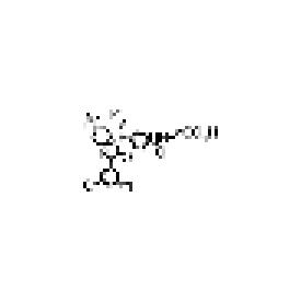 CC(C)CC[C@H](c1ccc(C(=O)NCCC(=O)O)cc1)N1C(=O)C(c2cc(Cl)cc(Cl)c2)=NC12CCC([Si](C)(C)C)CC2